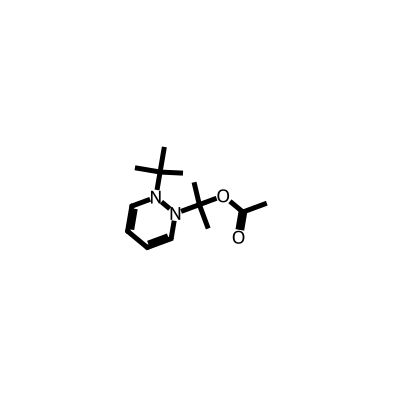 CC(=O)OC(C)(C)N1C=CC=CN1C(C)(C)C